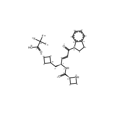 O=C(N[C@H](C=CC(=O)N1CCc2ccccc21)CC1CCC1)[C@@H]1CCN1.O=C(O)C(F)(F)F